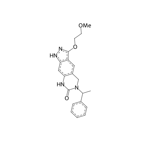 COCCOc1n[nH]c2cc3c(cc12)CN(C(C)c1ccccc1)C(=O)N3